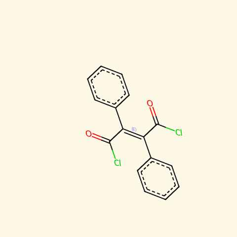 O=C(Cl)/C(=C(/C(=O)Cl)c1ccccc1)c1ccccc1